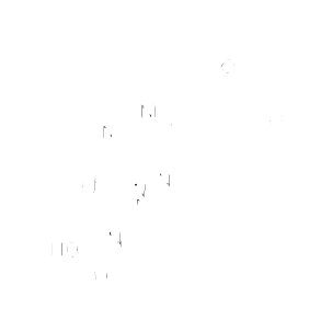 COc1cc(C#Cc2nn([C@H]3CCN(C(=O)O)C3)c3c(Cl)c(C(C)(C)C)nc(N)c23)cc(OC)c1